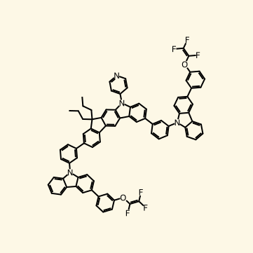 CCCC1(CCC)c2cc(-c3cccc(-n4c5ccccc5c5cc(-c6cccc(OC(F)=C(F)F)c6)ccc54)c3)ccc2-c2cc3c4cc(-c5cccc(-n6c7ccccc7c7cc(-c8cccc(OC(F)=C(F)F)c8)ccc76)c5)ccc4n(-c4ccncc4)c3cc21